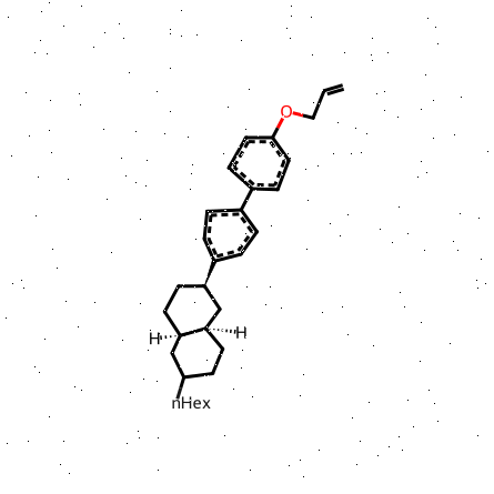 C=CCOc1ccc(-c2ccc([C@@H]3CC[C@@H]4CC(CCCCCC)CC[C@@H]4C3)cc2)cc1